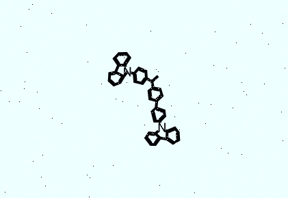 CC(c1ccc(-c2ccc(-n3c4ccccc4c4ccccc43)cc2)cc1)c1ccc(-n2c3ccccc3c3ccccc32)cc1